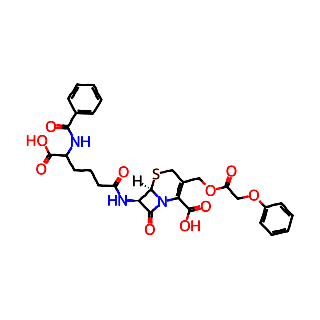 O=C(CCCC(NC(=O)c1ccccc1)C(=O)O)N[C@@H]1C(=O)N2C(C(=O)O)=C(COC(=O)COc3ccccc3)CS[C@H]12